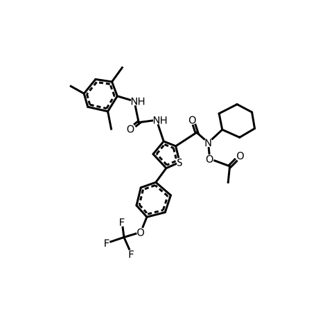 CC(=O)ON(C(=O)c1sc(-c2ccc(OC(F)(F)F)cc2)cc1NC(=O)Nc1c(C)cc(C)cc1C)C1CCCCC1